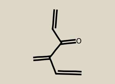 C=CC(=C)C(=O)C=C